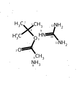 CC(=O)OC(C)(C)C.N.N=C(N)N